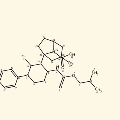 CC(C)COC(=O)NC1CCN(c2ccccc2)C(F)C1C12CCC(CC(O)C1)N2C(=O)O